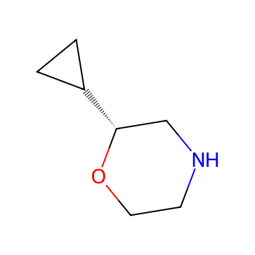 C1CO[C@H](C2CC2)CN1